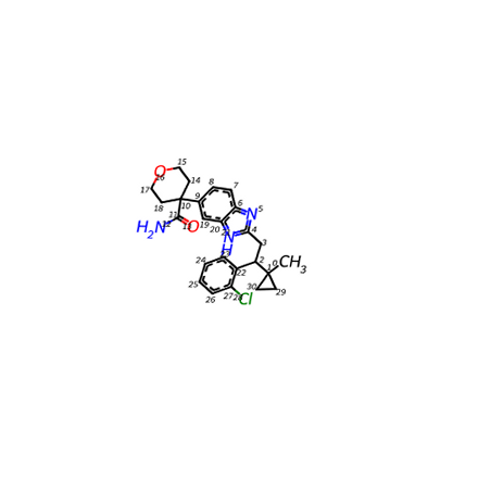 CC1(C(Cc2nc3ccc(C4(C(N)=O)CCOCC4)cc3[nH]2)c2ccccc2Cl)CC1